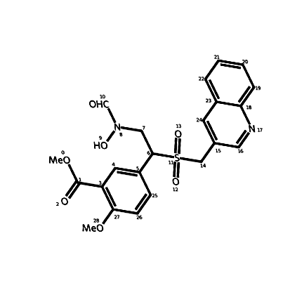 COC(=O)c1cc(C(CN(O)C=O)S(=O)(=O)Cc2cnc3ccccc3c2)ccc1OC